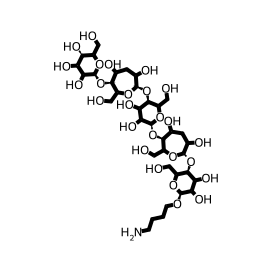 NCCCCO[C@H]1OC(CO)[C@@H](O[C@@H]2OC(CO)[C@@H](O[C@H]3OC(CO)[C@H](O[C@H]4OC(CO)[C@@H](O[C@@H]5OC(CO)[C@@H](O)C(O)C5O)C(O)CC4O)C(O)C3O)C(O)CC2O)C(O)C1O